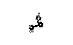 Oc1cncc(C#Cc2ccccc2CN2CCNCC2)c1